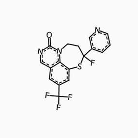 O=c1ncc2cc(C(F)(F)F)cc3c2n1CCC(F)(c1cccnc1)S3